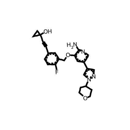 Nc1ncc(-c2cnn(C3CCOCC3)c2)cc1OCc1cc(C#CC2(O)CC2)ccc1F